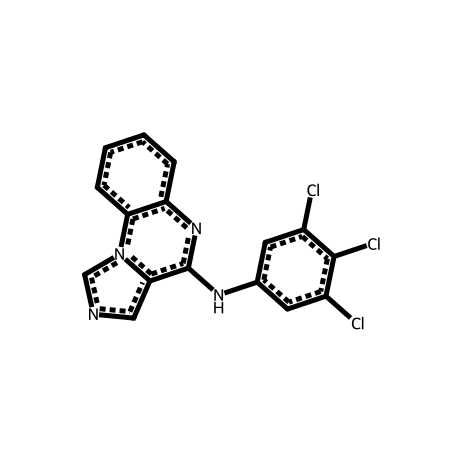 Clc1cc(Nc2nc3ccccc3n3cncc23)cc(Cl)c1Cl